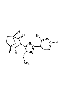 CCc1sc(-c2ccc(Cl)cc2Br)nc1C1C(=O)[C@@H]2CC[C@@H](C2)C1=O